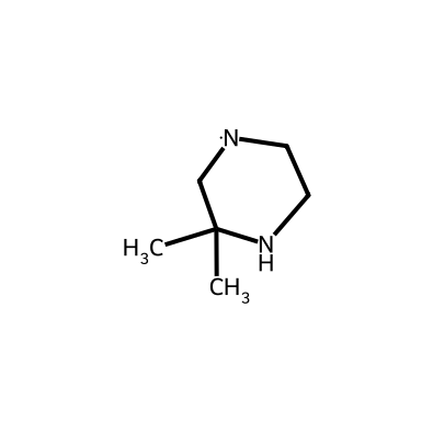 CC1(C)C[N]CCN1